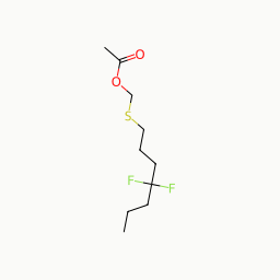 CCCC(F)(F)CCCSCOC(C)=O